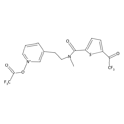 CN(CCc1ccc[n+](OC(=O)C(F)(F)F)c1)C(=O)c1ccc(C(=O)C(F)(F)F)s1